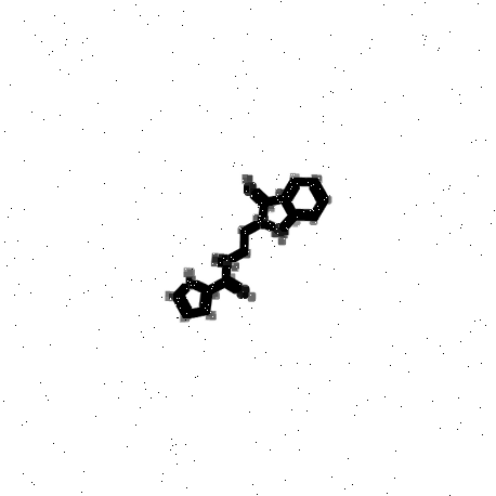 O=C(NCCn1[se]c2ccccc2c1=O)c1cccs1